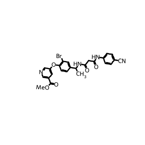 COC(=O)c1cncc(Oc2ccc(C(C)NC(=O)CC(=O)Nc3ccc(C#N)cc3)cc2Br)c1